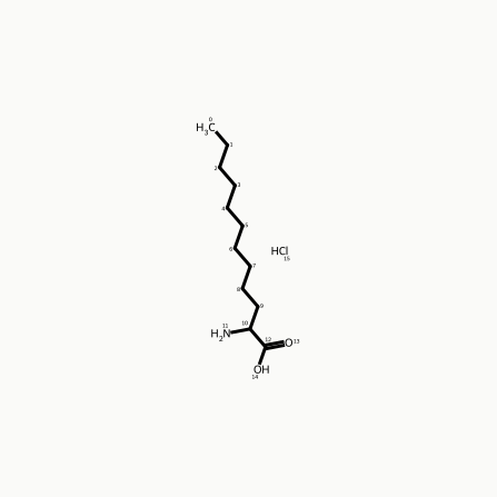 CCCCCCCCCCC(N)C(=O)O.Cl